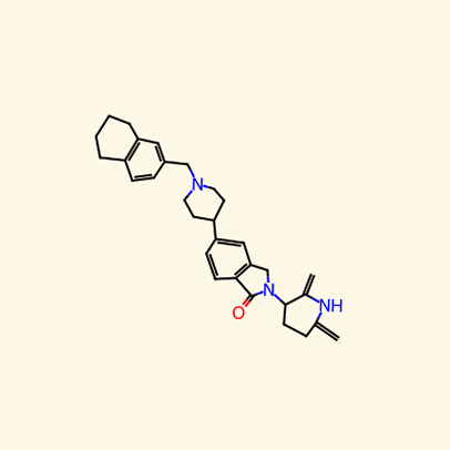 C=C1CCC(N2Cc3cc(C4CCN(Cc5ccc6c(c5)CCCC6)CC4)ccc3C2=O)C(=C)N1